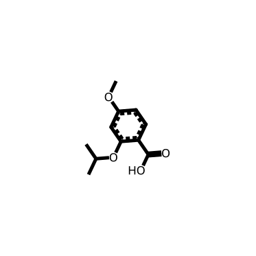 COc1ccc(C(=O)O)c(OC(C)C)c1